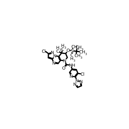 CC1(C)c2c(cnc3cc(Cl)nn23)N(C(=O)Nc2cnc(-n3nccn3)c(Cl)c2)CC1O[Si](C)(C)C(C)(C)C